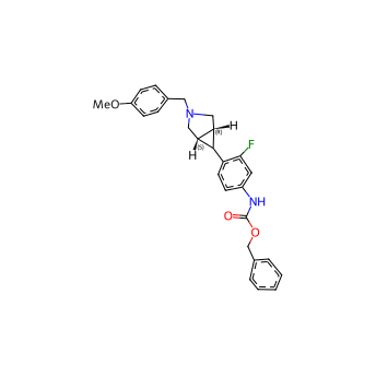 COc1ccc(CN2C[C@@H]3C(c4ccc(NC(=O)OCc5ccccc5)cc4F)[C@@H]3C2)cc1